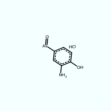 Cl.Nc1cc([As]=O)ccc1O